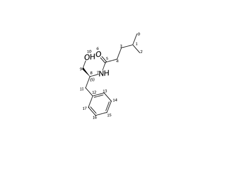 CC(C)CCC(=O)N[C@H](CO)Cc1ccccc1